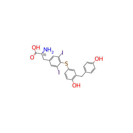 N[C@@H](Cc1cc(I)c(Sc2ccc(O)c(Cc3ccc(O)cc3)c2)c(I)c1)C(=O)O